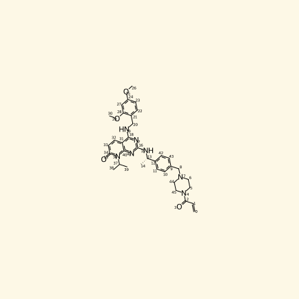 C=CC(=O)N1CCN(Cc2ccc([C@H](C)Nc3nc(NCc4ccc(OC)cc4OC)c4ccc(=O)n(C(C)C)c4n3)cc2)CC1